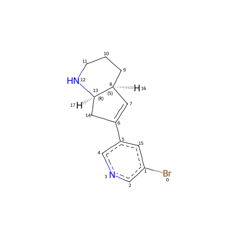 Brc1cncc(C2=C[C@@H]3CCCN[C@@H]3C2)c1